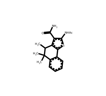 CC(=O)Nc1sc2c(c1C(N)=O)C(C)C(C)(C)c1ccccc1-2